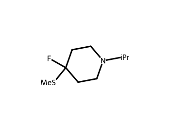 CSC1(F)CCN(C(C)C)CC1